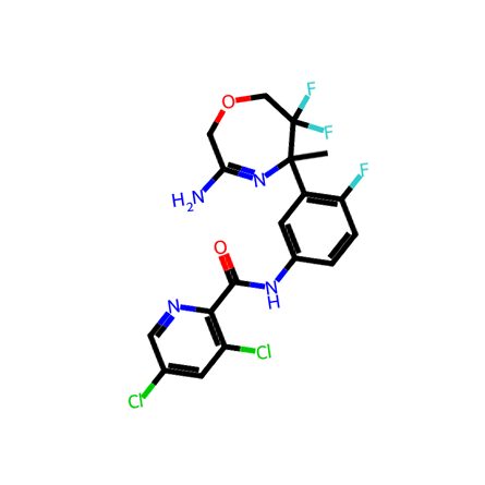 CC1(c2cc(NC(=O)c3ncc(Cl)cc3Cl)ccc2F)N=C(N)COCC1(F)F